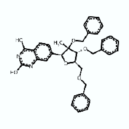 C[C@@]1(OCc2ccccc2)[C@H](OCc2ccccc2)[C@@H](COCc2ccccc2)O[C@H]1c1ccc2c(O)nc(O)nc2c1